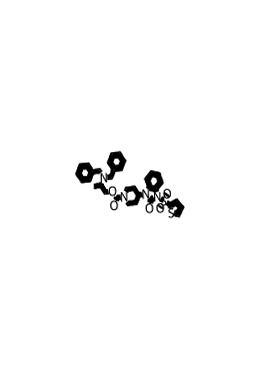 CC(COC(=O)N1CCC(n2c(=O)n(S(=O)(=O)c3cccs3)c3ccccc32)CC1)N(Cc1ccccc1)Cc1ccccc1